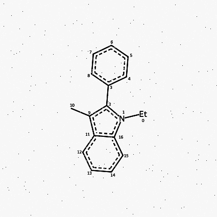 CCn1c(-c2ccccc2)c(C)c2ccccc21